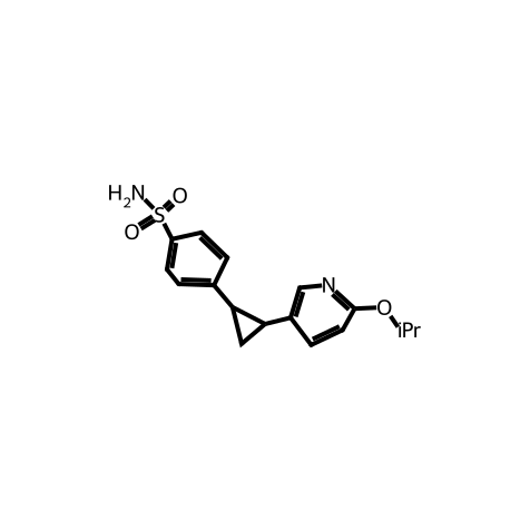 CC(C)Oc1ccc(C2CC2c2ccc(S(N)(=O)=O)cc2)cn1